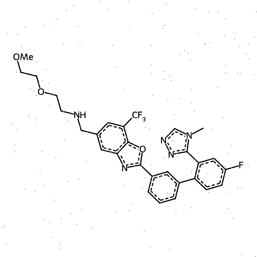 COCCOCCNCc1cc(C(F)(F)F)c2oc(-c3cccc(-c4ccc(F)cc4-c4nncn4C)c3)nc2c1